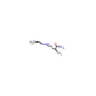 C=CCNCCCC(=C)C(N)=O